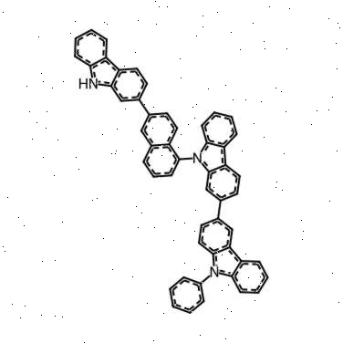 c1ccc(-n2c3ccccc3c3cc(-c4ccc5c6ccccc6n(-c6cccc7cc(-c8ccc9c(c8)[nH]c8ccccc89)ccc67)c5c4)ccc32)cc1